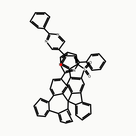 O=S1(=O)c2ccccc2-c2cc3c(cc21)-c1ccccc1C31c2ccccc2-c2ccccc2-c2ccc(-c3nc(-c4ccccc4)cc(-c4cnc(-c5ccccc5)nc4)n3)cc21